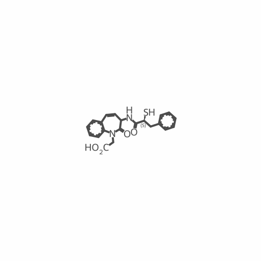 O=C(O)CN1C(=O)C(NC(=O)[C@@H](S)Cc2ccccc2)C=Cc2ccccc21